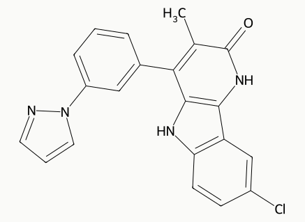 Cc1c(-c2cccc(-n3cccn3)c2)c2[nH]c3ccc(Cl)cc3c2[nH]c1=O